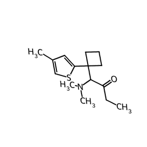 CCC(=O)C(N(C)C)C1(c2cc(C)cs2)CCC1